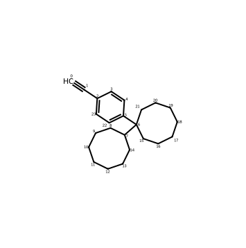 C#Cc1ccc(C2(C3CCCCCCC3)CCCCCCC2)cc1